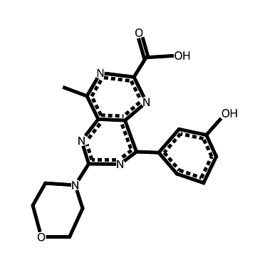 Cc1nc(C(=O)O)nc2c(-c3cccc(O)c3)nc(N3CCOCC3)nc12